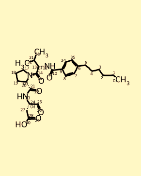 CCCCCCc1ccc(C(=O)N[C@H](C(=O)N2CCC[C@H]2C(=O)N[C@H](C=O)CC(=O)O)C(C)C)cc1